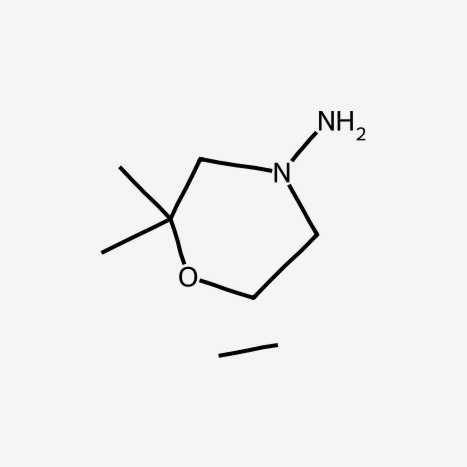 CC.CC1(C)CN(N)CCO1